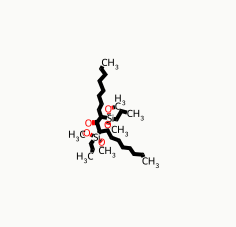 CCCCCCCCC(C(=O)C(CCCCCCCC)[Si](CCC)(OC)OC)[Si](CCC)(OC)OC